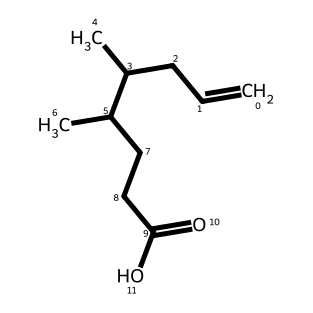 C=CCC(C)C(C)CCC(=O)O